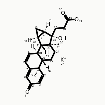 C[C@]12C=CC(=O)C=C1C=C[C@H]1[C@@H]3[C@H]4C[C@H]4[C@@](O)(CCC(=O)[O-])[C@@]3(C)CC[C@@H]12.[K+]